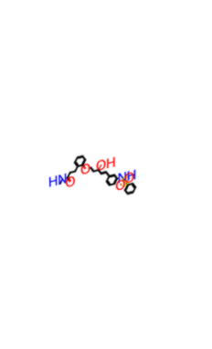 CNC(=O)CCc1ccccc1OCC[C@@H](O)/C=C/c1cccc(NS(=O)(=O)c2ccccc2)c1